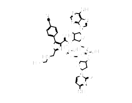 CCNCc1nc(C(=O)OC2C(O)[C@H](n3cnc4c(N)ncnc43)O[C@@H]2COP(=O)(O)OC2C[C@H](n3ccc(N)nc3=O)O[C@@H]2COP(=O)(O)O)c(-c2ccc(C#N)cc2)s1